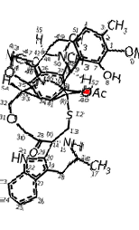 COc1c(C)cc2c(c1O)[C@H]1C3[C@@H]4SC[C@]5(NC(C)Cc6c5[nH]c5ccccc65)C(=O)COC[C@@H](c5c6c(c(C)c(OC(C)=O)c54)OCO6)N3[C@@H](C#N)[C@@H](C2)N1C